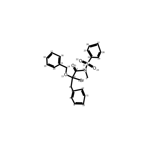 CN(C(=O)C(Br)(Cc1ccccc1)OCc1ccccc1)S(=O)(=O)c1ccccc1